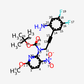 COc1ccc([N+](=O)[O-])c(N(CC#Cc2cc(F)c(F)cc2N)C(=O)OC(C)(C)C)n1